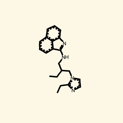 CCc1nccn1CC(CC)CNC1=Nc2cccc3cccc1c23